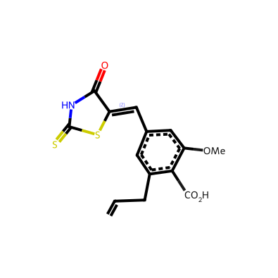 C=CCc1cc(/C=C2\SC(=S)NC2=O)cc(OC)c1C(=O)O